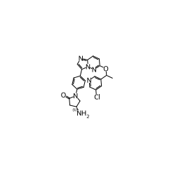 CC(Oc1ccc2ncc(-c3ccc(N4C[C@@H](N)CC4=O)cc3)n2n1)c1cncc(Cl)c1